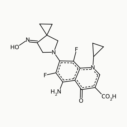 Nc1c(F)c(N2CC(=NO)C3(CC3)C2)c(F)c2c1c(=O)c(C(=O)O)cn2C1CC1